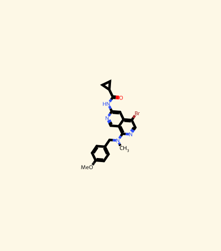 COc1ccc(CN(C)c2ncc(Br)c3cc(NC(=O)C4CC4)ncc23)cc1